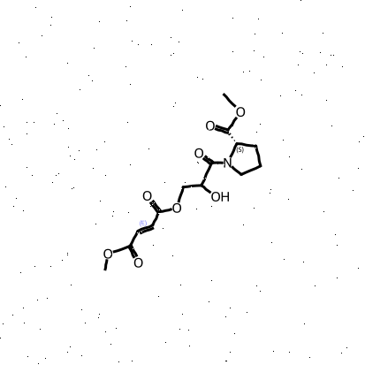 COC(=O)/C=C/C(=O)OCC(O)C(=O)N1CCC[C@H]1C(=O)OC